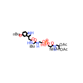 CCCCOc1ccc2[nH]cc(CC(=O)N[C@H](C(=O)NCCOP(=O)(O)OCC(NC(C)=O)C(=O)NCC(COC(C)=O)OC(C)=O)[C@@H](C)CC)c2c1